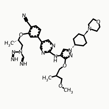 COCC(C)COc1nn([C@H]2CC[C@H](N3CCOCC3)CC2)cc1Nc1ncc(-c2ccc(C#N)c(O[C@@H](C)CN(C=N)N=N)c2)cn1